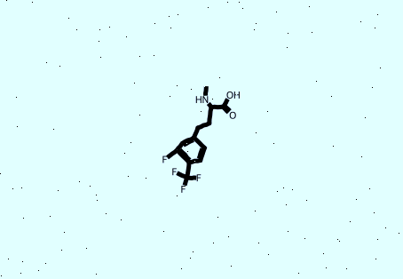 CNC(CCc1ccc(C(F)(F)F)c(F)c1)C(=O)O